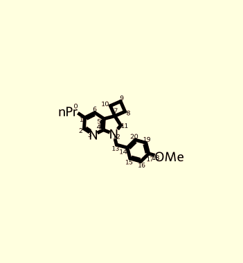 CCCc1cnc2c(c1)C1(CCC1)CN2Cc1ccc(OC)cc1